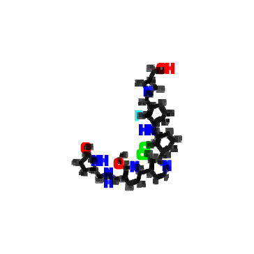 COc1nc(-c2ccnc(-c3cccc(Nc4cccc(CN5CC(CO)C5)c4F)c3Cl)c2Cl)ccc1CNC[C@H]1CCC(=O)N1